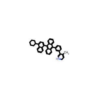 CC1=CCNC=C1c1cccc(-c2c3ccccc3c(-c3ccc(C4CCCCC4)c4ccccc34)c3ccccc23)c1